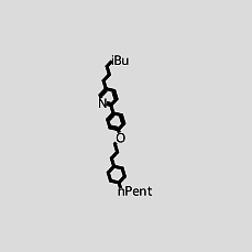 CCCCCC1CCC(CCCOc2ccc(-c3ccc(CCCC(C)CC)cn3)cc2)CC1